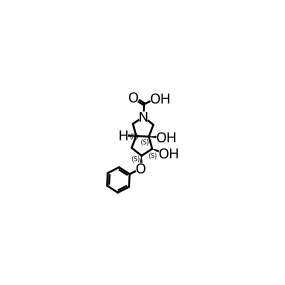 O=C(O)N1C[C@H]2C[C@H](Oc3ccccc3)[C@H](O)[C@@]2(O)C1